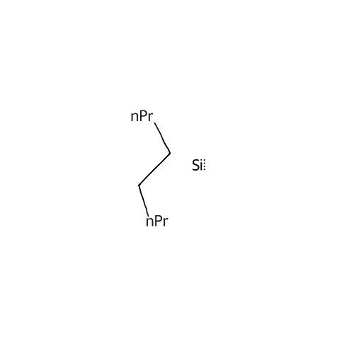 CCCCCCCC.[Si]